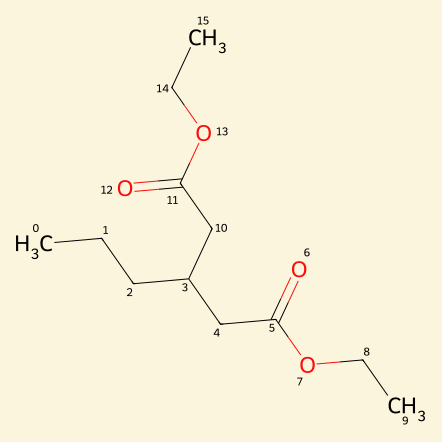 CCCC(CC(=O)OCC)CC(=O)OCC